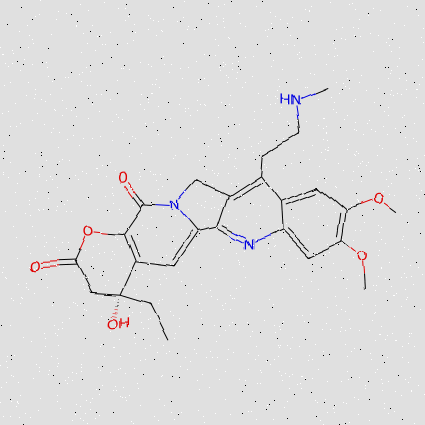 CC[C@@]1(O)CC(=O)Oc2c1cc1n(c2=O)Cc2c-1nc1cc(OC)c(OC)cc1c2CCNC